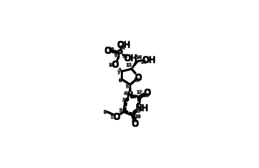 COc1cn([C@H]2C[C@H](OP(=O)(O)O)[C@@H](CO)O2)c(=O)[nH]c1=O